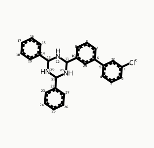 Clc1cccc(-c2cccc(C3NC(c4ccccc4)NC(c4ccccc4)N3)c2)c1